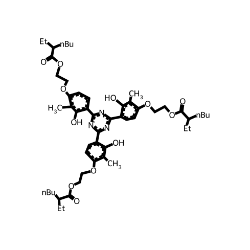 CCCCC(CC)C(=O)OCCOc1ccc(-c2nc(-c3ccc(OCCOC(=O)C(CC)CCCC)c(C)c3O)nc(-c3ccc(OCCOC(=O)C(CC)CCCC)c(C)c3O)n2)c(O)c1C